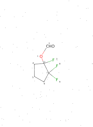 O=COC1(F)CCCC1(F)F